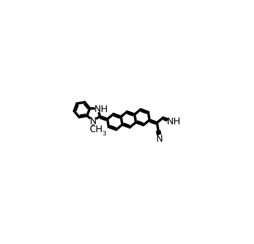 CN1/C(=c2\ccc3cc4c/c(=C(\C#N)C=N)ccc4cc3c2)Nc2ccccc21